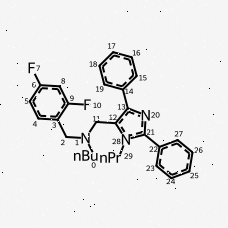 CCCCN(Cc1ccc(F)cc1F)Cc1c(-c2ccccc2)nc(-c2ccccc2)n1CCC